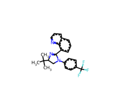 CC(C)(C)C1CN(c2ccc(C(F)(F)F)cc2)C(c2cccc3cccnc23)=N1